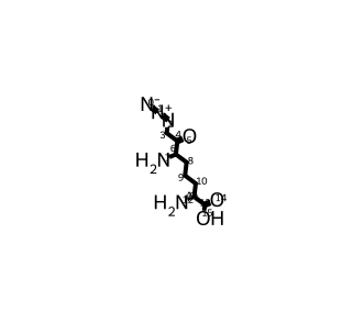 [N-]=[N+]=NCC(=O)C(N)CCC[C@H](N)C(=O)O